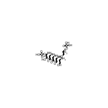 NCCO.NCCO.NCCO.NCCO.NCCO.NCCO.O=S(=O)(O)O.O=S(=O)(O)S